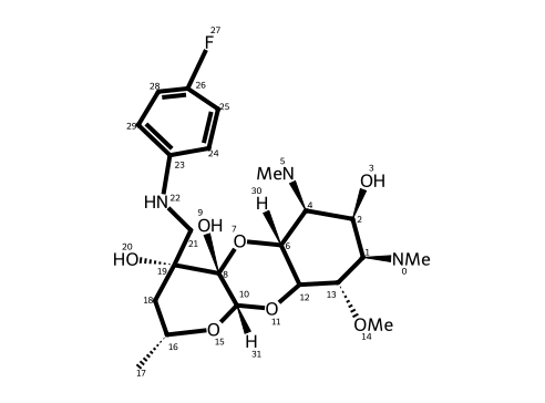 CN[C@@H]1[C@H](O)[C@H](NC)[C@H]2O[C@]3(O)[C@H](OC2[C@H]1OC)O[C@H](C)C[C@@]3(O)CNc1ccc(F)cc1